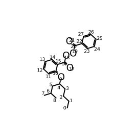 CCCCC(CC(C)C)Oc1ccccc1C(=O)OOC(=O)c1ccccc1